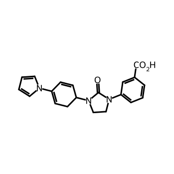 O=C(O)c1cccc(N2CCN(C3C=CC(n4cccc4)=CC3)C2=O)c1